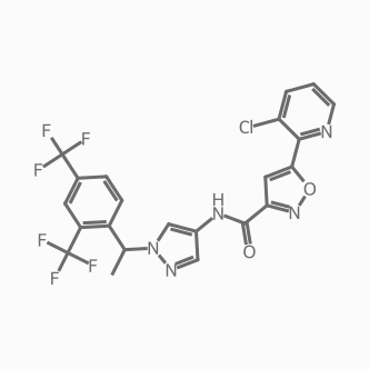 CC(c1ccc(C(F)(F)F)cc1C(F)(F)F)n1cc(NC(=O)c2cc(-c3ncccc3Cl)on2)cn1